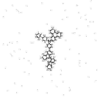 c1ccc(-c2ccc(N(c3ccc(-c4ccc5c(c4)c4ccccc4n5-c4cccc5c4sc4ccccc45)cc3)c3ccc4c5ccccc5c5ccccc5c4c3)cc2)cc1